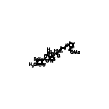 COCC1CCCN1CCCCNC(=O)Nc1snc(OCc2cc(F)c(C)cc2F)c1C(N)=O